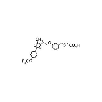 Cc1oc(-c2ccc(OC(F)(F)F)cc2)nc1CCOc1cccc(CSCC(=O)O)c1